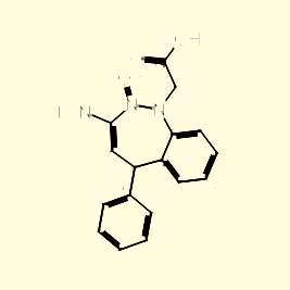 NC1=CC(c2ccccc2)c2ccccc2N(CC(=O)O)[N+]1=O